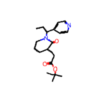 CCC(c1ccncc1)N1CCCC(CC(=O)OC(C)(C)C)C1=O